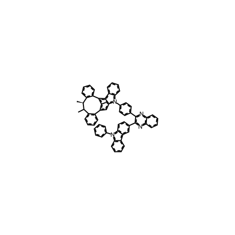 Cc1c2cc3c(c1-c1ccccc1[C@H](C)C(C)c1ccccc1-2)c1ccccc1n3-c1ccc(-c2nc3ccccc3nc2-c2ccc3c(c2)c2ccccc2n3-c2ccccc2)cc1